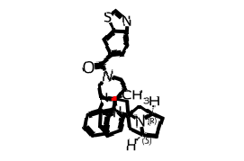 Cc1nc2ccccc2n1C1C[C@H]2CC[C@@H](C1)N2CCC1(c2ccccc2)CCN(C(=O)c2ccc3ncsc3c2)CC1